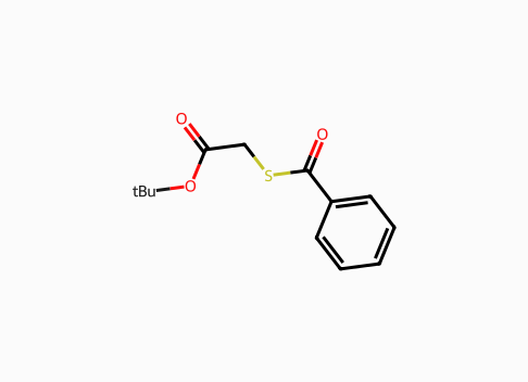 CC(C)(C)OC(=O)CSC(=O)c1ccccc1